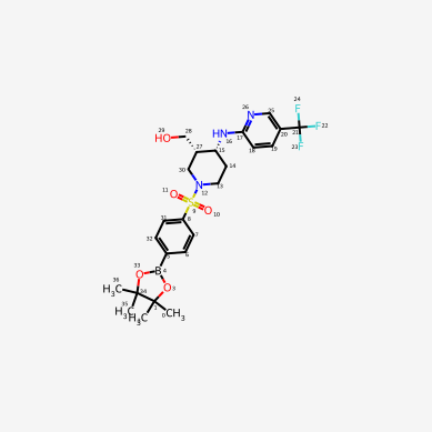 CC1(C)OB(c2ccc(S(=O)(=O)N3CC[C@@H](Nc4ccc(C(F)(F)F)cn4)[C@@H](CO)C3)cc2)OC1(C)C